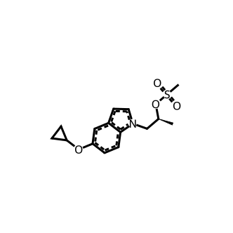 C[C@@H](Cn1ccc2cc(OC3CC3)ccc21)OS(C)(=O)=O